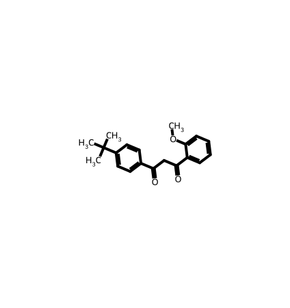 COc1ccccc1C(=O)CC(=O)c1ccc(C(C)(C)C)cc1